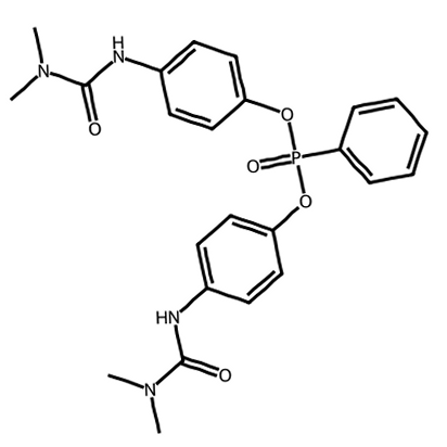 CN(C)C(=O)Nc1ccc(OP(=O)(Oc2ccc(NC(=O)N(C)C)cc2)c2ccccc2)cc1